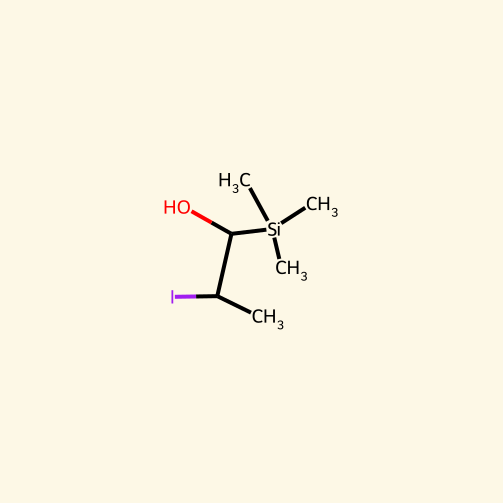 CC(I)C(O)[Si](C)(C)C